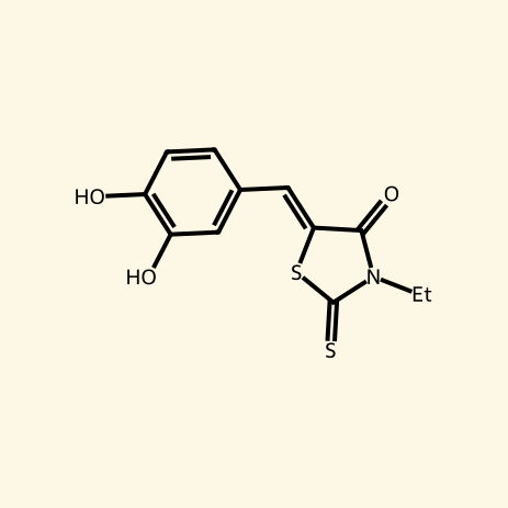 CCN1C(=O)C(=Cc2ccc(O)c(O)c2)SC1=S